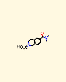 CN(C)C(=O)c1ccc2c(c1)CCN(C(=O)O)C2